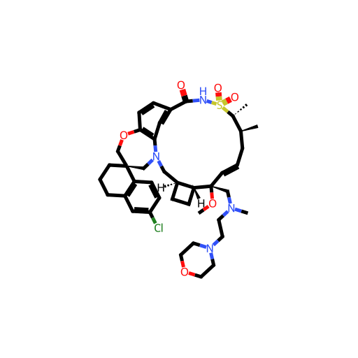 CO[C@@]1(CN(C)CCN2CCOCC2)/C=C/C[C@H](C)[C@@H](C)S(=O)(=O)NC(=O)c2ccc3c(c2)N(C[C@@H]2CC[C@H]21)C[C@@]1(CCCc2cc(Cl)ccc21)CO3